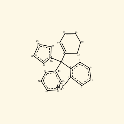 Cc1ccccc1C(C1=CC=CCC1)(c1ccccc1)n1ccnc1